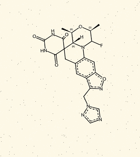 C[C@@H]1O[C@H](C)[C@@H]2N(c3cc4onc(Cn5cncn5)c4cc3CC23C(=O)NC(=O)NC3=O)C1F